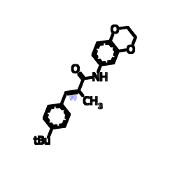 C/C(=C\c1ccc(C(C)(C)C)cc1)C(=O)Nc1ccc2c(c1)OCCO2